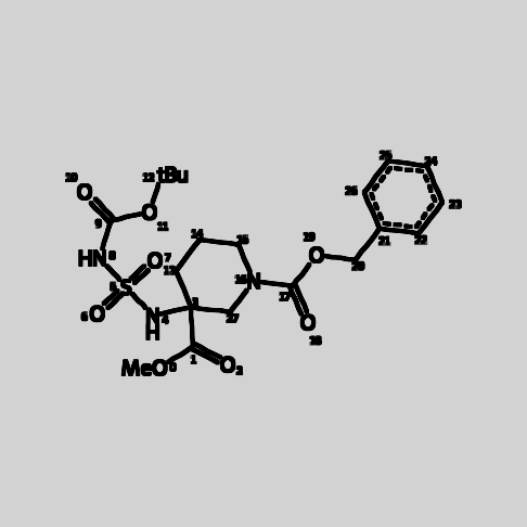 COC(=O)C1(NS(=O)(=O)NC(=O)OC(C)(C)C)CCCN(C(=O)OCc2ccccc2)C1